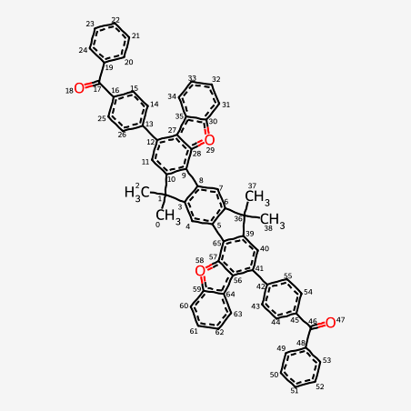 CC1(C)c2cc3c(cc2-c2c1cc(-c1ccc(C(=O)c4ccccc4)cc1)c1c2oc2ccccc21)C(C)(C)c1cc(-c2ccc(C(=O)c4ccccc4)cc2)c2c(oc4ccccc42)c1-3